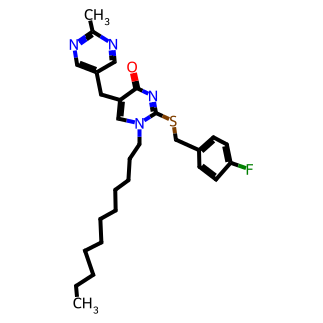 CCCCCCCCCCCn1cc(Cc2cnc(C)nc2)c(=O)nc1SCc1ccc(F)cc1